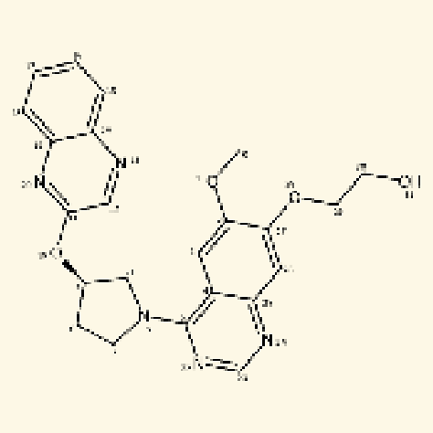 COc1cc2c(N3CC[C@@H](Oc4cnc5ccccc5n4)C3)ncnc2cc1OCCO